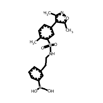 Cc1ccc(-c2c(C)noc2C)cc1S(=O)(=O)NCCc1cccc(B(O)O)c1